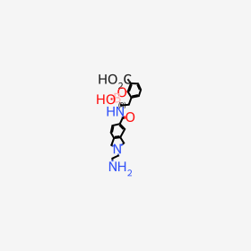 NCCN1Cc2ccc(C(=O)N[C@H]3Cc4cccc(C(=O)O)c4OB3O)cc2C1